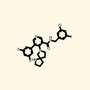 O=C(NCc1cc(F)cc(Cl)c1)c1cncc(-c2cc(F)cc(F)c2)c1N1CCC2(CCCN2)C1